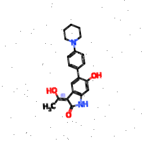 C/C(O)=C1\C(=O)Nc2cc(O)c(-c3ccc(N4CCCCC4)cc3)cc21